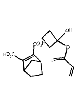 C=CC(=O)OC1(O)CCC1.O=C(O)C1=C(C(=O)O)C2CCC1C2